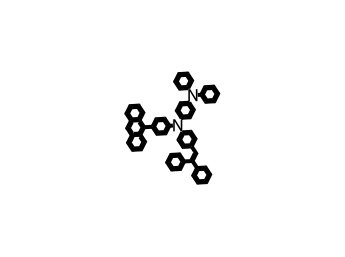 C(=C(c1ccccc1)c1ccccc1)c1ccc(N(c2ccc(-c3c4ccccc4cc4ccccc34)cc2)c2ccc(N(c3ccccc3)c3ccccc3)cc2)cc1